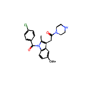 COc1ccc2c(c1)c(CC(=O)N1CCNCC1)c(C)n2C(=O)c1ccc(Cl)cc1